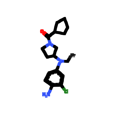 CC(C)CN(c1ccc(N)c(Cl)c1)C1CCN(C(=O)C2CCCC2)C1